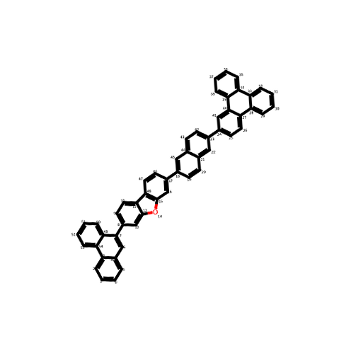 c1ccc2c(c1)cc(-c1ccc3c(c1)oc1cc(-c4ccc5cc(-c6ccc7c8ccccc8c8ccccc8c7c6)ccc5c4)ccc13)c1ccccc12